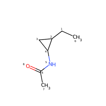 CCC1CC1NC(C)=O